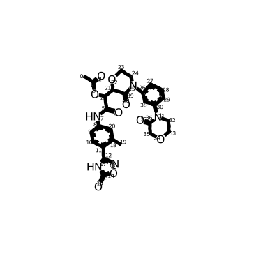 CC(=O)OC(C(=O)Nc1ccc(-c2noc(=O)[nH]2)c(C)c1)C1OCCN(c2cccc(N3CCOCC3=O)c2)C1=O